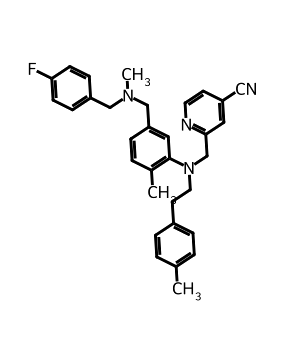 Cc1ccc(CCN(Cc2cc(C#N)ccn2)c2cc(CN(C)Cc3ccc(F)cc3)ccc2C)cc1